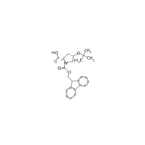 CC(C)(C)OC1C[C@@H](C(=O)O)N(C(=O)OCC2c3ccccc3-c3ccccc32)C1